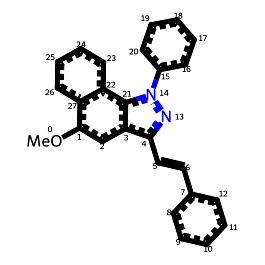 COc1cc2c(C=Cc3ccccc3)nn(-c3ccccc3)c2c2ccccc12